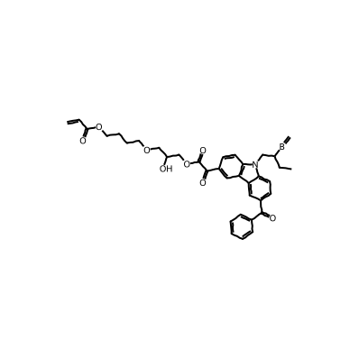 C=BC(CC)Cn1c2ccc(C(=O)C(=O)OCC(O)COCCCCOC(=O)C=C)cc2c2cc(C(=O)c3ccccc3)ccc21